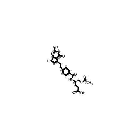 CC(=O)OC[C@H](CCC(=O)O)NC(=O)c1ccc(CCc2c[nH]c3nc(N)[nH]c(=O)c23)cc1